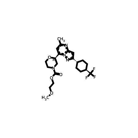 COCCOC(=O)N1CCO[C@@H](c2cc(C)nc3cc([C@H]4CC[C@H](C(F)(F)F)CC4)nn23)C1